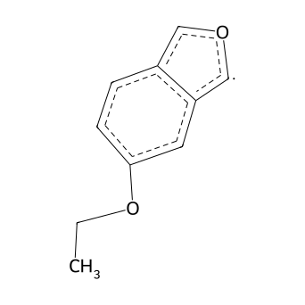 CCOc1ccc2co[c]c2c1